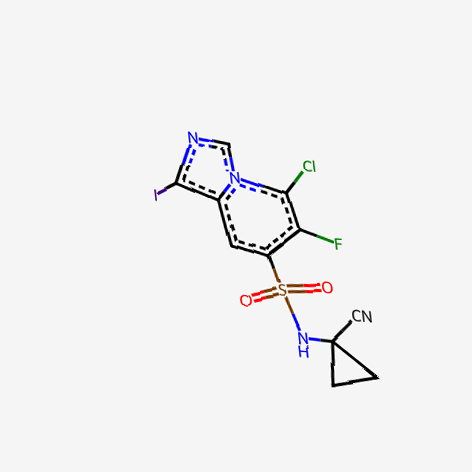 N#CC1(NS(=O)(=O)c2cc3c(I)ncn3c(Cl)c2F)CC1